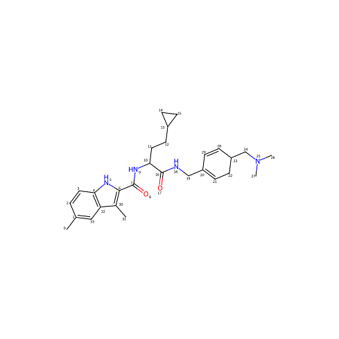 Cc1ccc2[nH]c(C(=O)NC(CCC3CC3)C(=O)NCC3=CCC(CN(C)C)C=C3)c(C)c2c1